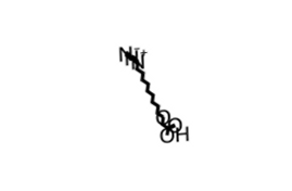 [N-]=[N+]=NCCCCCCCCCOCC(=O)O